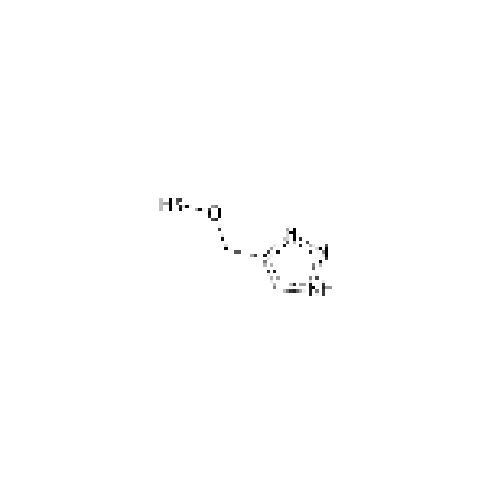 SOCc1c[nH]nn1